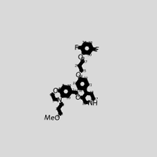 COCCCN1CCOc2ccc(COC3CNCCC3c3ccc(OCCCOc4cc(F)ccc4F)cc3)cc21